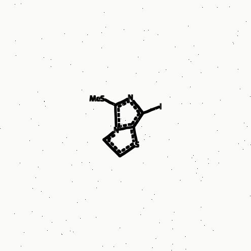 CSc1nc(I)c2sccn12